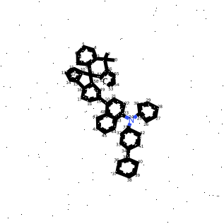 CC1(C)c2ccccc2C2(c3ccccc3-c3ccc(-c4ccc(N(c5ccccc5)c5ccc(-c6ccccc6)cc5)c5ccccc45)cc32)c2ccccc21